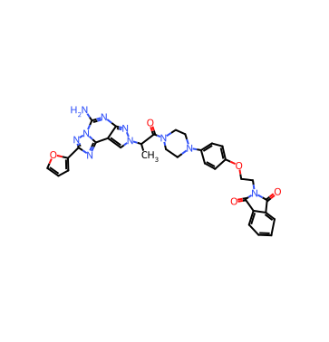 CC(C(=O)N1CCN(c2ccc(OCCN3C(=O)c4ccccc4C3=O)cc2)CC1)n1cc2c(nc(N)n3nc(-c4ccco4)nc23)n1